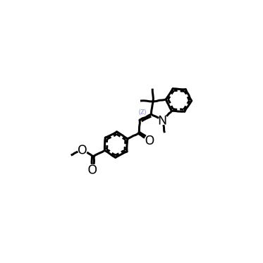 COC(=O)c1ccc(C(=O)/C=C2\N(C)c3ccccc3C2(C)C)cc1